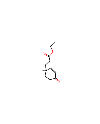 CCOC(=O)CCC1(C)C=CC(=O)CC1